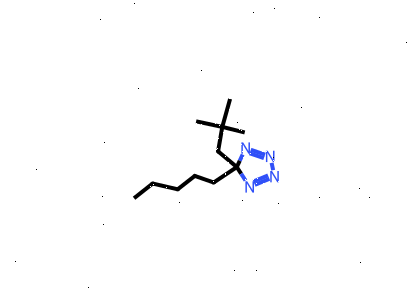 CCCCCC1(CC(C)(C)C)N=NN=N1